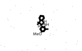 COc1cc(C)c2c(c1)[C@H]1[C@@H](N2)c2ccccc2C1(C)C